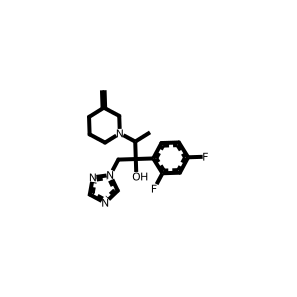 C=C1CCCN(C(C)C(O)(Cn2cncn2)c2ccc(F)cc2F)C1